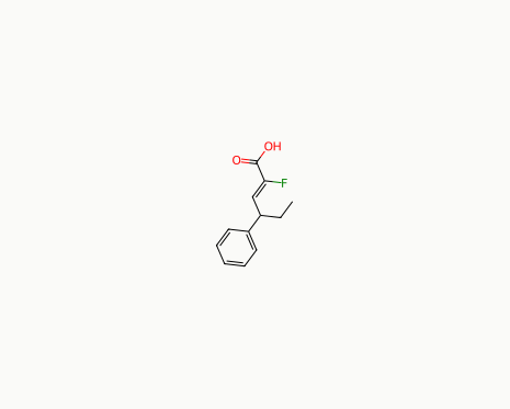 CCC(C=C(F)C(=O)O)c1ccccc1